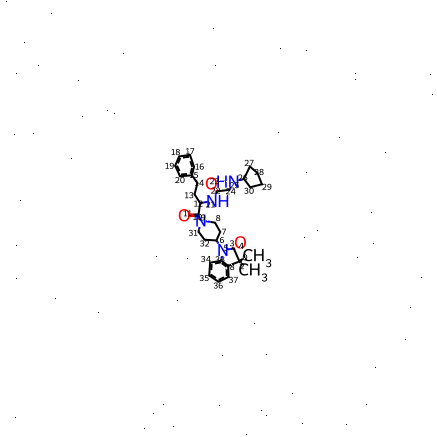 CC1(C)C(=O)N(C2CCN(C(=O)C(CCc3ccccc3)NC(=O)CNC3CCCC3)CC2)c2ccccc21